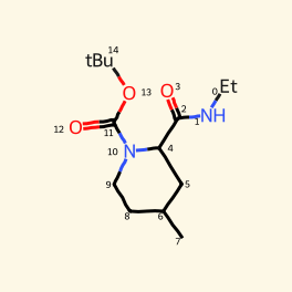 CCNC(=O)C1CC(C)CCN1C(=O)OC(C)(C)C